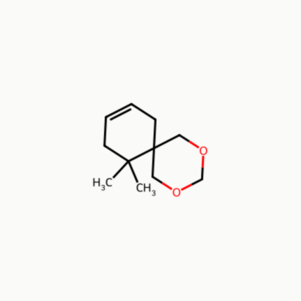 CC1(C)CC=CCC12COCOC2